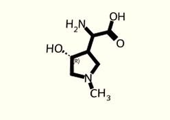 CN1CC(C(N)C(=O)O)[C@@H](O)C1